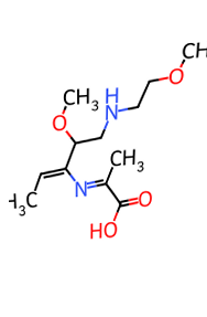 C/C=C(\N=C(/C)C(=O)O)C(CNCCOC)OC